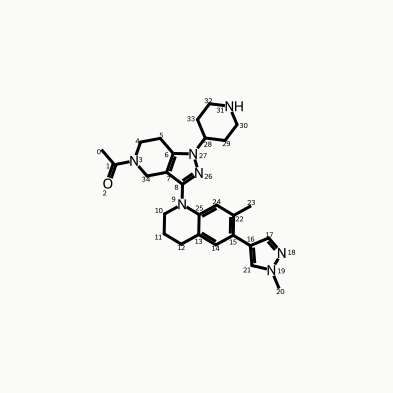 CC(=O)N1CCc2c(c(N3CCCc4cc(-c5cnn(C)c5)c(C)cc43)nn2C2CCNCC2)C1